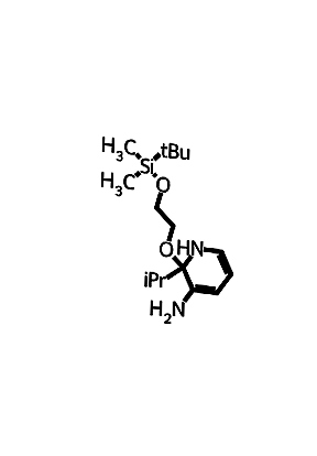 CC(C)C1(OCCO[Si](C)(C)C(C)(C)C)NC=CC=C1N